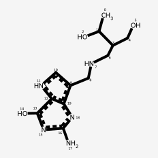 CC(O)C(CO)CNCc1c[nH]c2c(O)nc(N)nc12